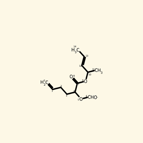 C=CCCC(O[C]=O)C(=O)OC(C)C=CC